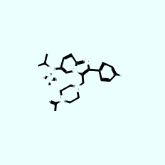 CC(=O)N1CCN(Cc2c(-c3ccc(Cl)cc3)nc3ccc(N(C(C)C)S(C)(=O)=O)cn23)CC1